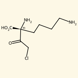 NCCCC[C@](N)(C(=O)O)C(=O)CCl